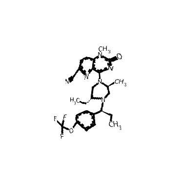 CC[C@@H]1CN(c2nc(=O)n(C)c3ccc(C#N)nc23)[C@@H](C)CN1[C@@H](CC)c1ccc(OC(F)(F)F)cc1